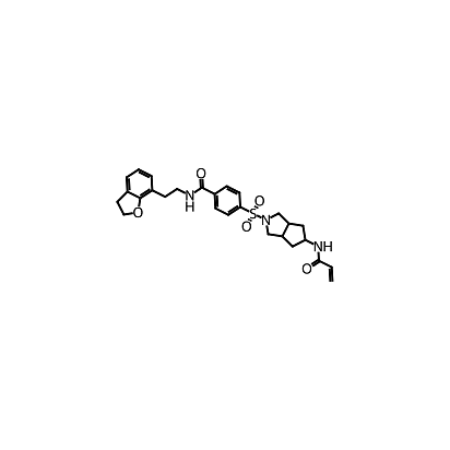 C=CC(=O)NC1CC2CN(S(=O)(=O)c3ccc(C(=O)NCCc4cccc5c4OCC5)cc3)CC2C1